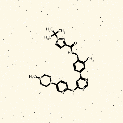 Cc1cc(-c2cc(Nc3ccc(N4CCN(C)CC4)cn3)ncn2)ccc1CNC(=O)c1ccn(C(C)(C)C)n1